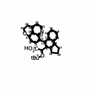 CC(C)(C)OC(C(=O)O)c1c2c(c3ccccc3c1-c1ccc3c4c(ccnc14)CCO3)CCC2